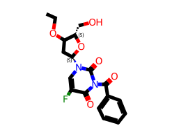 CCOC1C[C@@H](n2cc(F)c(=O)n(C(=O)c3ccccc3)c2=O)O[C@H]1CO